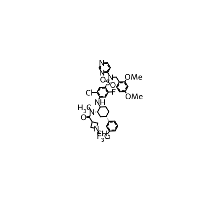 COc1ccc(CN(c2ccncn2)S(=O)(=O)c2cc(Cl)c(N[C@H]3CC[C@H](c4cccc(C(F)(F)F)c4)C[C@@H]3N(C)C(=O)C3CN(C)C3)cc2F)c(OC)c1